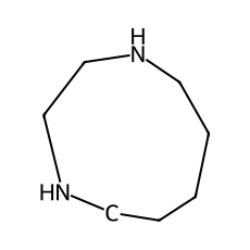 C1CCNCCNCC1